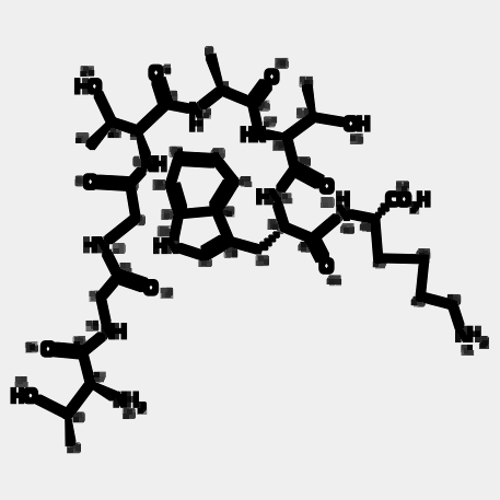 C[C@H](NC(=O)[C@@H](NC(=O)CNC(=O)CNC(=O)[C@@H](N)[C@@H](C)O)[C@@H](C)O)C(=O)N[C@H](C(=O)N[C@@H](Cc1c[nH]c2ccccc12)C(=O)N[C@@H](CCCCN)C(=O)O)[C@@H](C)O